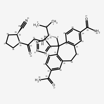 CC(C)[C@H](CC1(c2nnn[nH]2)c2ccc(C(N)=O)cc2CCc2cc(C(N)=O)ccc21)NCC(=O)N1CCC[C@H]1C#N